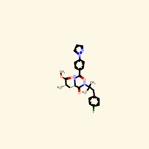 COC(=O)[C@@H](C)C[C@H](NC(=O)c1ccc(-n2cccn2)cc1)C(=O)NC(C)(C)Cc1ccc(F)cc1